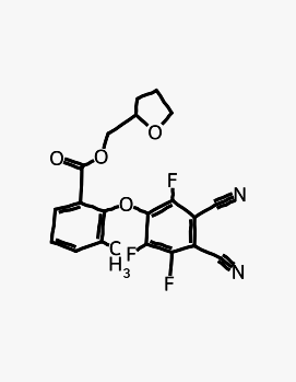 Cc1cccc(C(=O)OCC2CCCO2)c1Oc1c(F)c(F)c(C#N)c(C#N)c1F